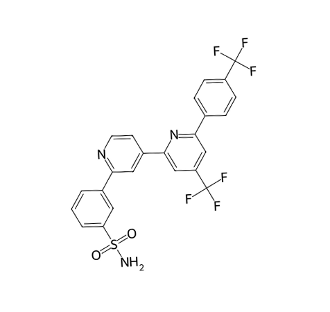 NS(=O)(=O)c1cccc(-c2cc(-c3cc(C(F)(F)F)cc(-c4ccc(C(F)(F)F)cc4)n3)ccn2)c1